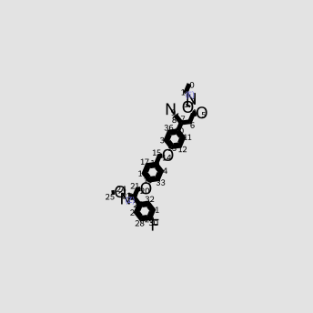 C/C=N/OC(=O)CC(C#N)c1ccc(OCc2ccc(OC/C(=N\OC)c3ccc(F)cc3)cc2)cc1